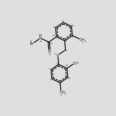 Cc1ccc(OCc2c(C)cccc2C(=O)NBr)c(Cl)c1